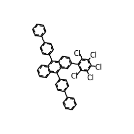 Clc1c(Cl)c(Cl)c(-c2ccc3c(-c4ccc(-c5ccccc5)cc4)c4ccccc4c(-c4ccc(-c5ccccc5)cc4)c3c2)c(Cl)c1Cl